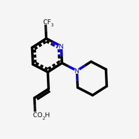 O=C(O)C=Cc1ccc(C(F)(F)F)nc1N1CCCCC1